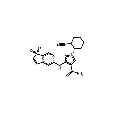 N#CC1CCCC[C@@H]1n1cc(C(N)=O)c(Nc2ccc3c(c2)C=CS3(=O)=O)n1